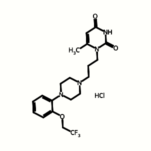 Cc1cc(=O)[nH]c(=O)n1CCCN1CCN(c2ccccc2OCC(F)(F)F)CC1.Cl